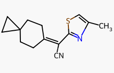 Cc1csc(C(C#N)=C2CCC3(CC2)CC3)n1